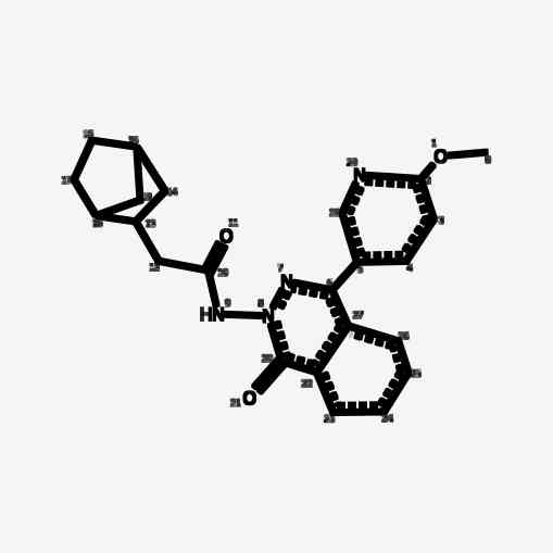 COc1ccc(-c2nn(NC(=O)CC3CC4CCC3C4)c(=O)c3ccccc23)cn1